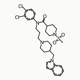 CS(=O)(=O)N1CCC(C(=O)N(CCCN2CCC(Cn3ccc4ccccc43)CC2)c2ccc(Cl)c(Cl)c2)CC1